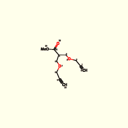 C#CCOCC(COCC#C)C(=O)OC